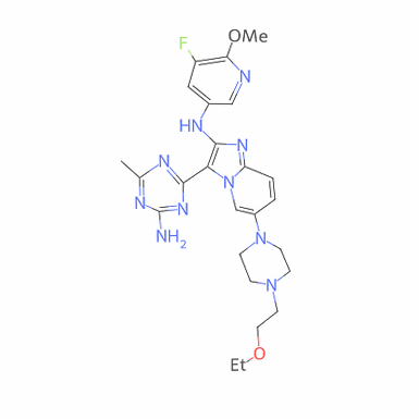 CCOCCN1CCN(c2ccc3nc(Nc4cnc(OC)c(F)c4)c(-c4nc(C)nc(N)n4)n3c2)CC1